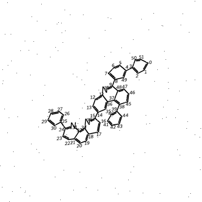 c1ccc(-c2cccc(-c3nc4ccc(-c5ccc6ccc7ccc(-c8ccccc8)nc7c6n5)cc4c4c(-c5ccccc5)cccc34)c2)cc1